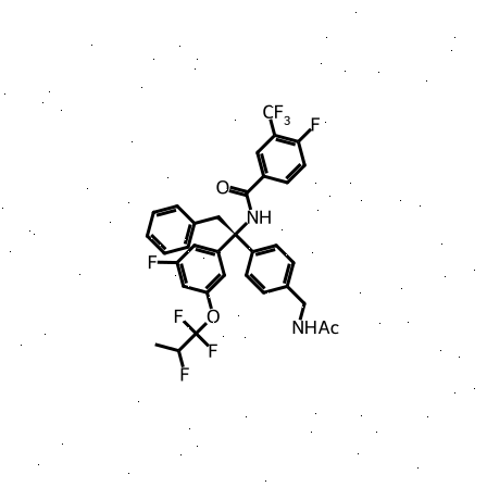 CC(=O)NCc1ccc([C@@](Cc2ccccc2)(NC(=O)c2ccc(F)c(C(F)(F)F)c2)c2cc(F)cc(OC(F)(F)C(C)F)c2)cc1